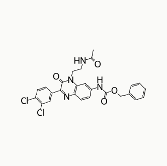 CC(=O)NCCn1c(=O)c(-c2ccc(Cl)c(Cl)c2)nc2ccc(NC(=O)OCc3ccccc3)cc21